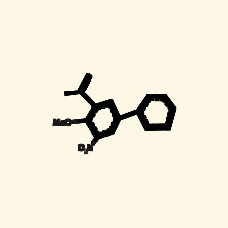 C=C(C)c1cc(-c2ccccc2)cc([N+](=O)[O-])c1OC